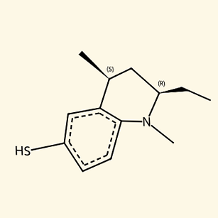 CC[C@@H]1C[C@H](C)c2cc(S)ccc2N1C